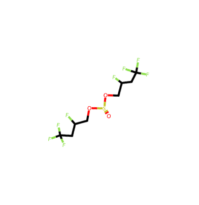 O=S(OCC(F)CC(F)(F)F)OCC(F)CC(F)(F)F